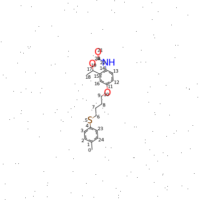 Cc1ccc(SCCCCOc2ccc3c(c2)C(C)OC(=O)N3)cc1